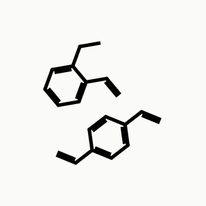 C=Cc1ccc(C=C)cc1.C=Cc1ccccc1CC